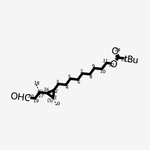 C[C@H]1C(CCCCCCCCCOC(=O)C(C)(C)C)C1[C@@H](C)CC=O